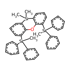 C[Si]1(C)c2cccc([Si](C)(c3ccccc3)c3ccccc3)c2Oc2c1cccc2[Si](C)(c1ccccc1)c1ccccc1